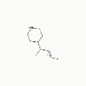 C/C=C/C(C)N1CCNCC1